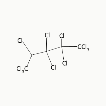 Cl[C](C(Cl)(Cl)Cl)C(Cl)(Cl)C(Cl)(Cl)C(Cl)(Cl)Cl